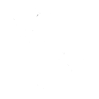 CCN(C)C(C(=O)Nc1ccc2c(c1O)C(=O)C1=C(O)C3(O)C(=O)C(C(N)=O)=C(O)[C@@H](N(C)C)C3CC1C2)c1ccc(C(F)(F)F)cc1